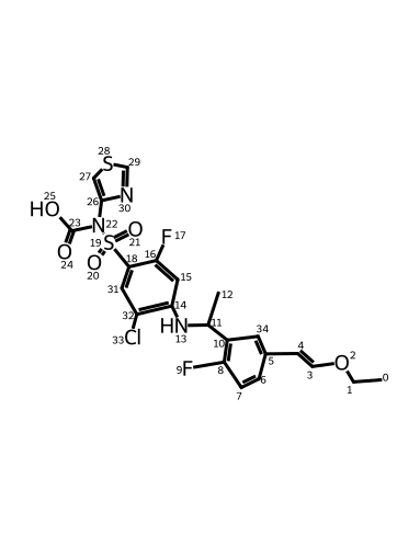 CCOC=Cc1ccc(F)c(C(C)Nc2cc(F)c(S(=O)(=O)N(C(=O)O)c3cscn3)cc2Cl)c1